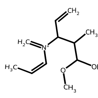 C=CC(C(C)C(O)OC)[N+](=C)/C=C\C